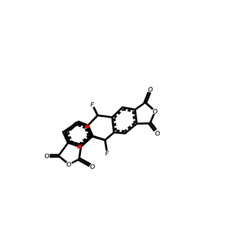 O=C1OC(=O)c2cc3c(cc21)C1(F)c2ccccc2C3(F)c2c1ccc1c2C(=O)OC1=O